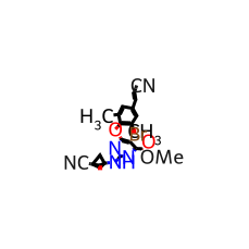 COC(=O)c1nc(NC23CC(C#N)(C2)C3)nc(Oc2c(C)cc(/C=C/C#N)cc2C)c1Br